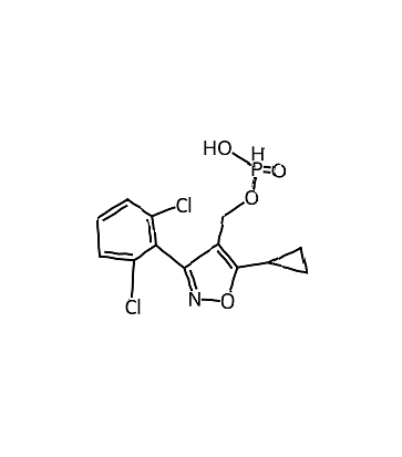 O=[PH](O)OCc1c(-c2c(Cl)cccc2Cl)noc1C1CC1